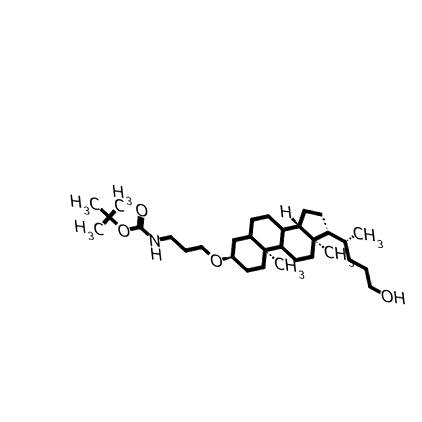 C[C@H](CCCO)[C@H]1CC[C@H]2C3CCC4C[C@H](OCCCNC(=O)OC(C)(C)C)CC[C@]4(C)C3CC[C@]12C